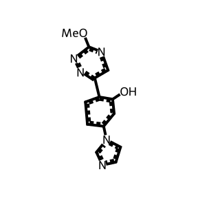 COc1ncc(-c2ccc(-n3ccnc3)cc2O)nn1